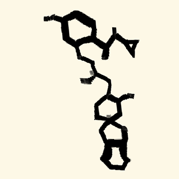 COc1ccc(C(=O)NC2CC2)c(OC[C@@H](O)CN2CC[C@@]3(Cc4ccccc4O3)CC2Cl)c1